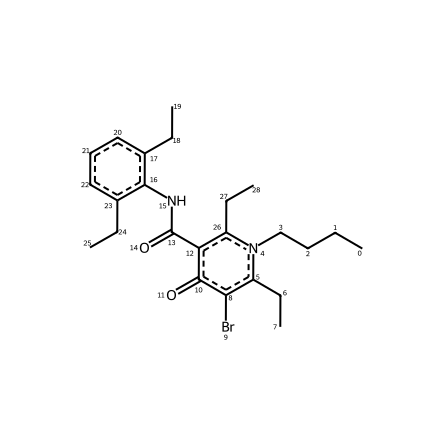 CCCCn1c(CC)c(Br)c(=O)c(C(=O)Nc2c(CC)cccc2CC)c1CC